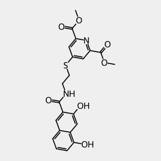 COC(=O)c1cc(SCCNC(=O)c2cc3cccc(O)c3cc2O)cc(C(=O)OC)n1